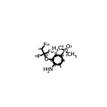 CP(C)(=O)c1ccc(N)c(OC(F)(F)CF)c1